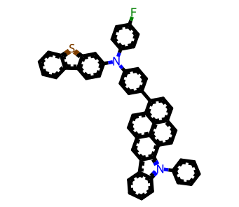 Fc1ccc(N(c2ccc(-c3ccc4ccc5c6c(ccc3c46)cc3c4ccccc4n(-c4ccccc4)c35)cc2)c2ccc3c(c2)sc2ccccc23)cc1